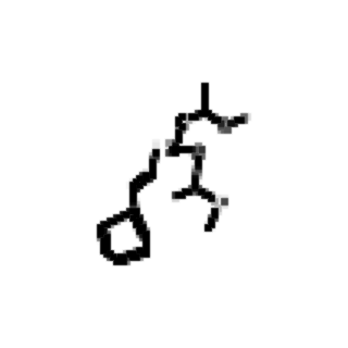 COC(C)O[SiH](CC=Cc1ccccc1)OC(C)OC